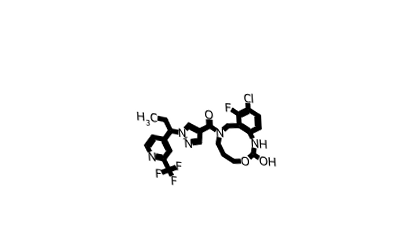 CCC(c1ccnc(C(F)(F)F)c1)n1cc(C(=O)N2CCCOC(O)Nc3ccc(Cl)c(F)c3C2)cn1